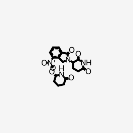 O=C1CCC(N2Cc3c(cccc3[N+](=O)[O-])C2=O)C(=O)N1.O=C1CCCC(=O)N1